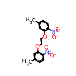 Cc1ccc([N+](=O)[O-])c(OCCOc2cc(C)ccc2[N+](=O)[O-])c1